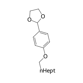 CCCCCCCCOc1ccc(C2OCCO2)cc1